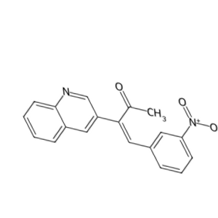 CC(=O)C(=Cc1cccc([N+](=O)[O-])c1)c1cnc2ccccc2c1